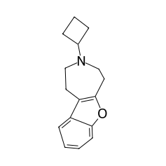 c1ccc2c3c(oc2c1)CCN(C1CCC1)CC3